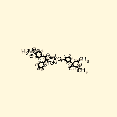 COC1(c2cccc(COC(Cc3nc(-c4ccccc4)c(-c4ccc(S(N)(=O)=O)cc4)o3)=NO)c2)CC(C)OC(C)C1